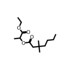 CCCCC(C)(C)CC(=O)OC(C)C(=O)OCC